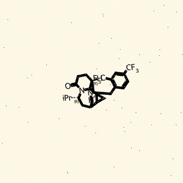 CC(C)[C@H]1CC2CN(Cc3ccc(C(F)(F)F)cc3C(F)(F)F)C[C@H]3CCC(=O)N1C3[C@H]1CC21